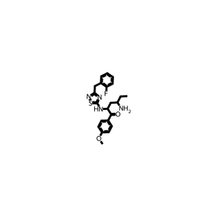 CCC(N)CC(Nc1nc(Cc2ccccc2F)ns1)C(=O)c1ccc(OC)cc1